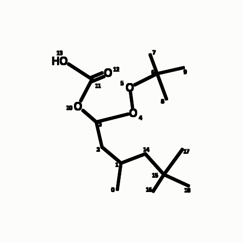 CC(CC(OOC(C)(C)C)OC(=O)O)CC(C)(C)C